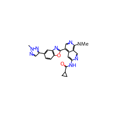 CNc1ncc(-c2nc3cc(-c4cnn(C)n4)ccc3o2)c2cc(NC(=O)C3CC3)ncc12